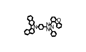 C1=C(c2nc(-c3ccccc3)nc(-c3cccc4oc5ccccc5c34)n2)CCC(n2c3cc4ccccc4cc3c3c4ccccc4ccc32)=C1